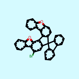 Brc1cc2c(c3oc4ccccc4c13)-c1c(ccc3oc4ccccc4c13)C21c2ccccc2-c2ccccc21